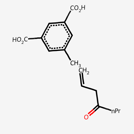 C=CCC(=O)CCC.Cc1cc(C(=O)O)cc(C(=O)O)c1